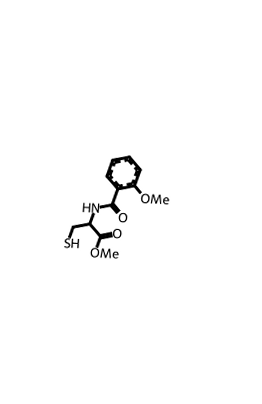 COC(=O)C(CS)NC(=O)c1ccccc1OC